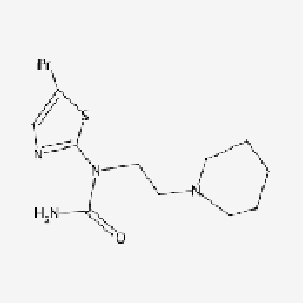 CC(C)c1cnc(N(CCN2CCCCC2)C(N)=O)s1